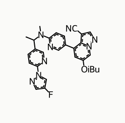 CC(C)COc1cc(-c2ccc(N(C)C(C)c3ccc(-n4cc(F)cn4)nc3)nc2)c2c(C#N)cnn2c1